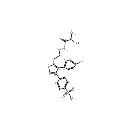 CN(O)C(=S)SCCCc1scc(-c2ccc(S(N)(=O)=O)cc2)c1-c1ccc(F)cc1